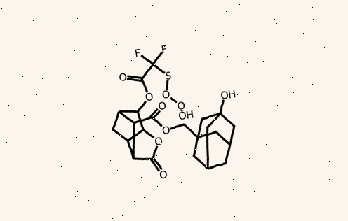 O=C1OC2C3CC(C2OC(=O)C(F)(F)SOOO)C(C(=O)OCC24CC5CC(CC(O)(C5)C2)C4)C13